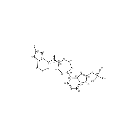 Cn1cc2c(n1)CCCC2N[C@H]1CCCN(c2ncnc3sc(CC(F)(F)F)cc23)CC1